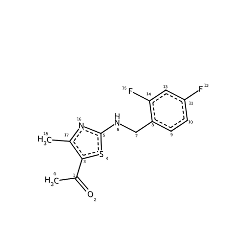 CC(=O)c1sc(NCc2ccc(F)cc2F)nc1C